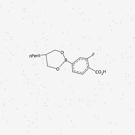 CCCCCC1COB(c2ccc(C(=O)O)c(F)c2)OC1